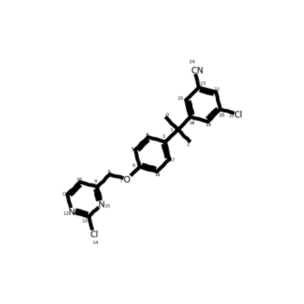 CC(C)(c1ccc(OCc2ccnc(Cl)n2)cc1)c1cc(Cl)cc(C#N)c1